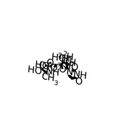 [2H][13C]([2H])([2H])[C@@]1(F)[C@H](O)[C@@H](COP(=O)(O)N[C@@H](C)C(=O)O)O[C@H]1n1ccc(=O)[nH]c1=O